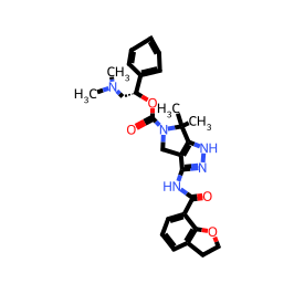 CN(C)C[C@@H](OC(=O)N1Cc2c(NC(=O)c3cccc4c3OCC4)n[nH]c2C1(C)C)c1ccccc1